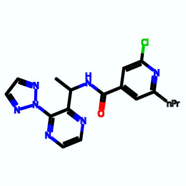 CCCc1cc(C(=O)NC(C)c2nccnc2-n2nccn2)cc(Cl)n1